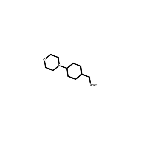 CCCC(C)CC1CCC(N2CCOCC2)CC1